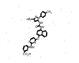 CCCCc1cc(NC(=O)Nc2ccc(Oc3ccnc(Nc4cccc(C(=O)O)c4)n3)c3ccccc23)n(-c2ccc(C)cc2)n1